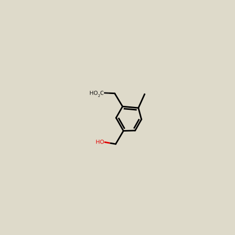 Cc1ccc(CO)cc1CC(=O)O